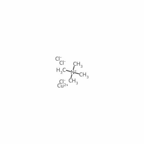 C[N+](C)(C)C.[Cl-].[Cl-].[Cl-].[Cu+2]